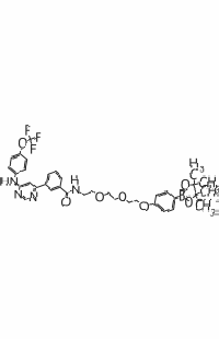 CC1(C)OB(c2ccc(OCCOCCOCCNC(=O)c3cccc(-c4cc(Nc5ccc(OC(F)(F)F)cc5)ncn4)c3)cc2)OC1(C)C